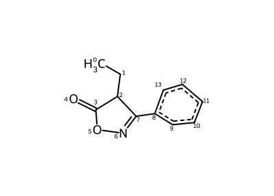 CCC1C(=O)ON=C1c1ccccc1